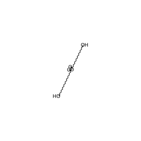 O=C(CCCCCCCCCCCCCCCO)OC(=O)CCCCCCCCCCCCCCCCCO